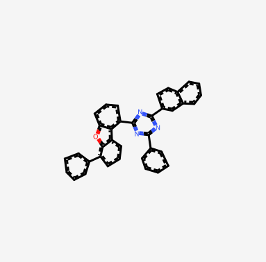 c1ccc(-c2nc(-c3ccc4ccccc4c3)nc(-c3cccc4oc5c(-c6ccccc6)cccc5c34)n2)cc1